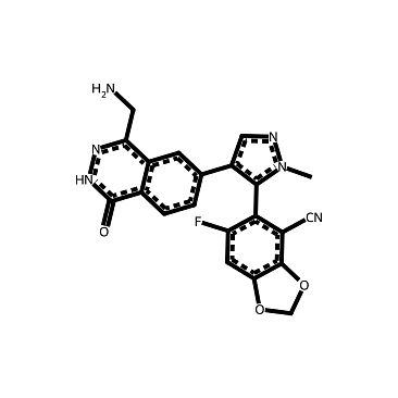 Cn1ncc(-c2ccc3c(=O)[nH]nc(CN)c3c2)c1-c1c(F)cc2c(c1C#N)OCO2